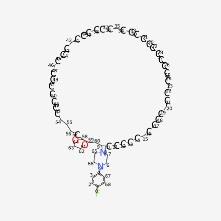 Fc1ccc(N2CCN(C3CCCCCCCCCCCCCCCCCCCCCCCCCCCCCCCCCCCCCCCCCCCCCCCCC4(CC3)OCCO4)CC2)cc1